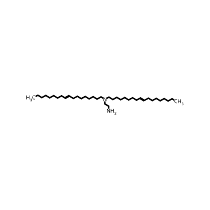 CCCCCCCCC=CCCCCCCCCN(CCN)CCCCCCCCC=CCCCCCCCC